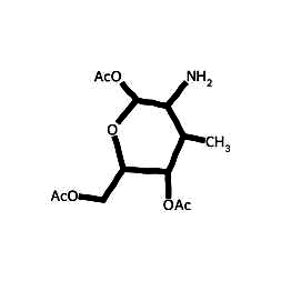 CC(=O)OCC1OC(OC(C)=O)C(N)C(C)C1OC(C)=O